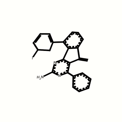 C=C1c2cccc(C3=CC=CC(I)C3)c2-c2nc(N)nc(-c3ccccc3)c21